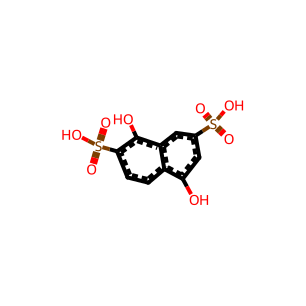 O=S(=O)(O)c1cc(O)c2ccc(S(=O)(=O)O)c(O)c2c1